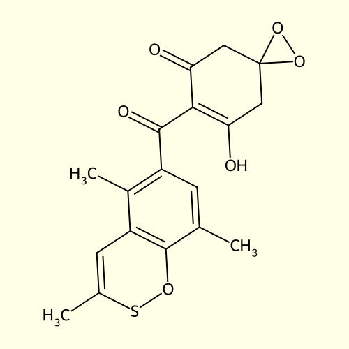 CC1=Cc2c(C)c(C(=O)C3=C(O)CC4(CC3=O)OO4)cc(C)c2OS1